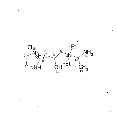 C1=NCCN1.CC[N+](CC)(CC(C)O)C(C)N.[Cl-]